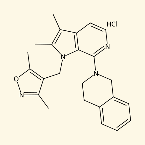 Cc1noc(C)c1Cn1c(C)c(C)c2ccnc(N3CCc4ccccc4C3)c21.Cl